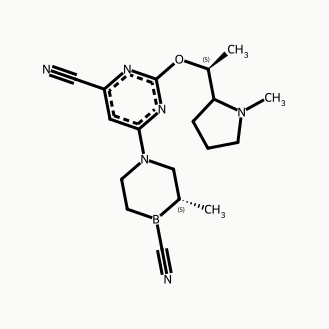 C[C@H](Oc1nc(C#N)cc(N2CCB(C#N)[C@@H](C)C2)n1)C1CCCN1C